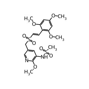 COc1cc(OC)c(/C=C/S(=O)(=O)Cc2cnc(OC)c(NS(C)(=O)=O)c2)c(OC)c1